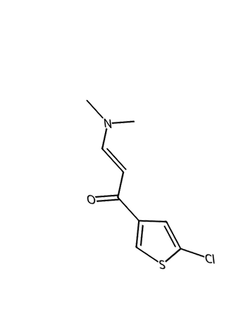 CN(C)/C=C/C(=O)c1csc(Cl)c1